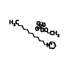 CCCCCCCCCCCC[n+]1ccccc1.CCOOS(=O)(=O)[O-]